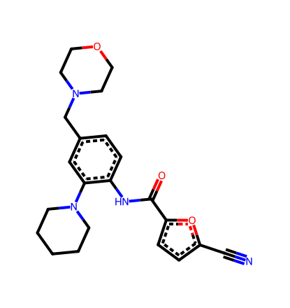 N#Cc1ccc(C(=O)Nc2ccc(CN3CCOCC3)cc2N2CCCCC2)o1